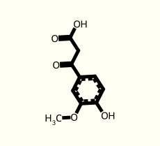 COc1cc(C(=O)CC(=O)O)ccc1O